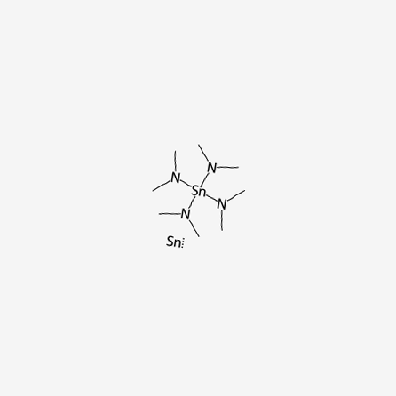 C[N](C)[Sn]([N](C)C)([N](C)C)[N](C)C.[Sn]